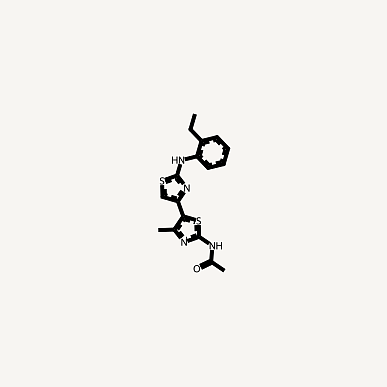 CCc1ccccc1Nc1nc(-c2sc(NC(C)=O)nc2C)cs1